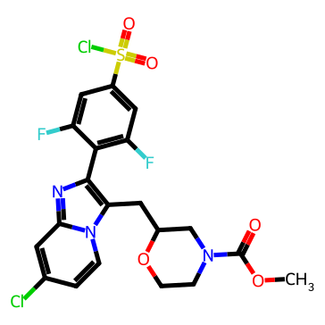 COC(=O)N1CCOC(Cc2c(-c3c(F)cc(S(=O)(=O)Cl)cc3F)nc3cc(Cl)ccn23)C1